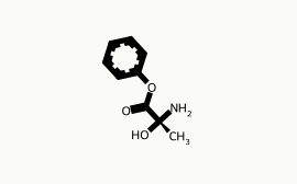 C[C@@](N)(O)C(=O)Oc1ccccc1